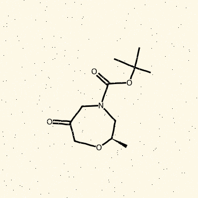 C[C@@H]1CN(C(=O)OC(C)(C)C)CC(=O)CO1